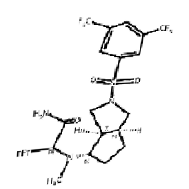 CCC[C@@H](C(N)=O)N(C)[C@H]1CC[C@@H]2CN(S(=O)(=O)c3cc(C(F)(F)F)cc(C(F)(F)F)c3)C[C@@H]21